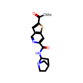 COC(=O)c1cc2cnc(C(=O)NC3CC4CCN3C4)cc2s1